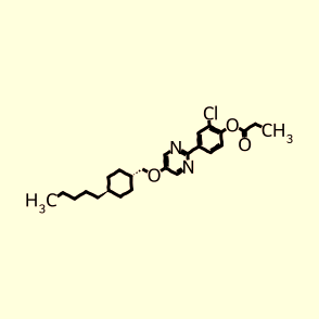 CCCCC[C@H]1CC[C@H](COc2cnc(-c3ccc(OC(=O)CC)c(Cl)c3)nc2)CC1